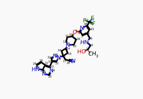 C[C@H](O)CNCc1cc(OC2CCN(C3CC(CC#N)(n4cc(-c5ncnc6[nH]ccc56)cn4)C3)CC2)nc(C(F)(F)F)c1